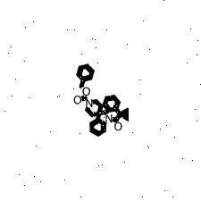 O=C(OCc1ccccc1)N1CCC2(CC1)CN(C(=O)C1(c3ccccc3)CC1)c1ccccc12